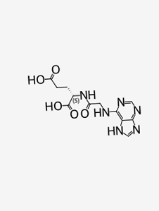 O=C(O)CC[C@H](NC(=O)CNc1ncnc2nc[nH]c12)C(=O)O